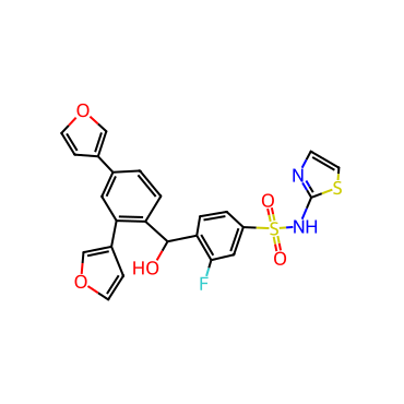 O=S(=O)(Nc1nccs1)c1ccc(C(O)c2ccc(-c3ccoc3)cc2-c2ccoc2)c(F)c1